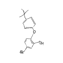 CC(C)(C)c1ccc(Oc2ccc(Br)cc2O)cc1